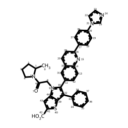 CC1CCCN1C(=O)Cn1c(-c2ccc3nc(-c4ccc(-n5ccnc5)cc4)ccc3c2)c(-c2ccccc2)c2sc(C(=O)O)cc21